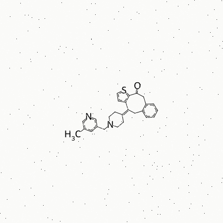 Cc1cncc(CN2CCC(=C3Cc4ccccc4CC(=O)c4sccc43)CC2)c1